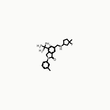 Cc1cccc(N2Cc3c(cc(CNC4CCC(C)(F)C4)cc3C(P)(P)P)C2=O)c1